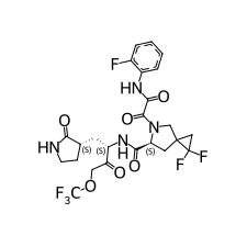 O=C(Nc1ccccc1F)C(=O)N1CC2(C[C@H]1C(=O)N[C@@H](C[C@@H]1CCNC1=O)C(=O)COC(F)(F)F)CC2(F)F